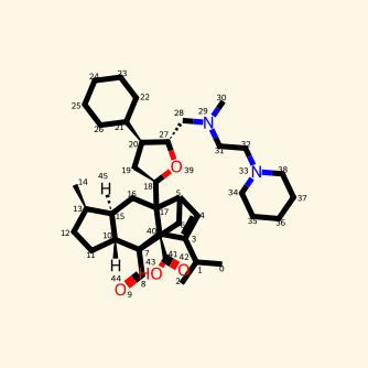 CC(C)C1=CC2CC3(C=O)[C@@H]4CC[C@@H](C)[C@H]4CC2([C@H]2C[C@@H](C4CCCCC4)[C@H](CN(C)CCN4CCCCC4)O2)[C@]13C(=O)O